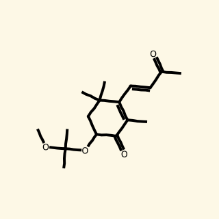 COC(C)(C)OC1CC(C)(C)C(C=CC(C)=O)=C(C)C1=O